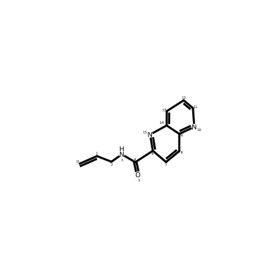 C=CCNC(=O)c1ccc2ncccc2n1